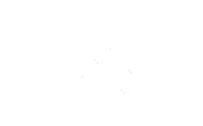 C[C@@H](O)c1nc2cnc3[nH]ccc3c2n1C[C@H]1CCCO1